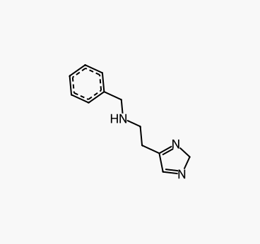 C1=NCN=C1CCNCc1ccccc1